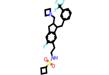 O=S(=O)(NCCc1cc2c(cc1F)CC(CN1CCC1)C2Cc1cccc(C(F)(F)F)c1)C1CCC1